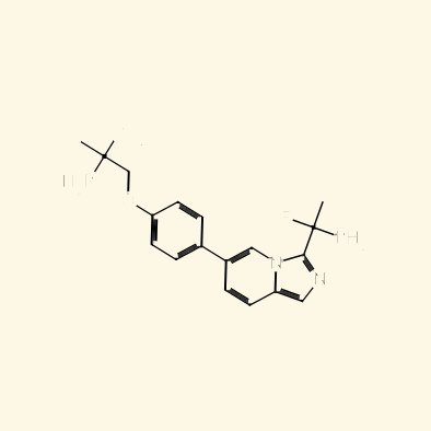 CC(P)(P)COc1ccc(-c2ccc3cnc(C(C)(F)P)n3c2)cc1